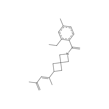 C=C(C)/C=C(\C)C1CC2(C1)CN(C(=C)c1ccc(C)cc1CC)C2